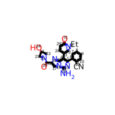 CCn1cc(-c2c(-c3ccccc3C#N)nc(N)n3cc(C(=O)N4CC(O)C4)nc23)ccc1=O